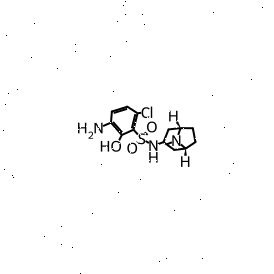 CN1[C@@H]2CC[C@H]1CC(NS(=O)(=O)c1c(Cl)ccc(N)c1O)C2